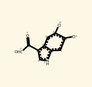 O=CC(=O)c1c[nH]c2cc(Cl)c(Cl)cc12